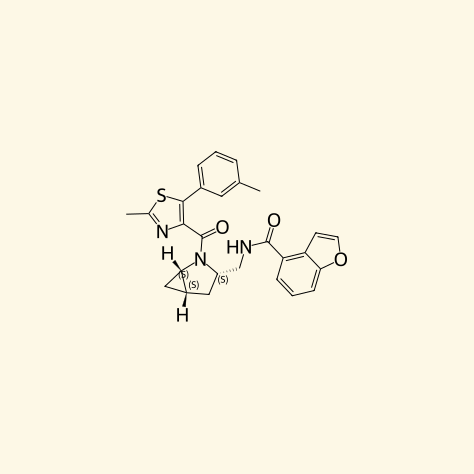 Cc1cccc(-c2sc(C)nc2C(=O)N2[C@H](CNC(=O)c3cccc4occc34)C[C@@H]3C[C@@H]32)c1